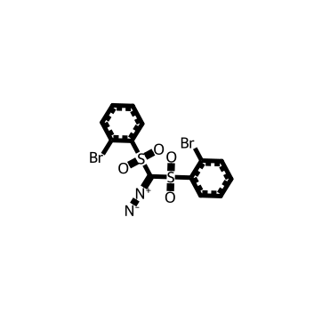 [N-]=[N+]=C(S(=O)(=O)c1ccccc1Br)S(=O)(=O)c1ccccc1Br